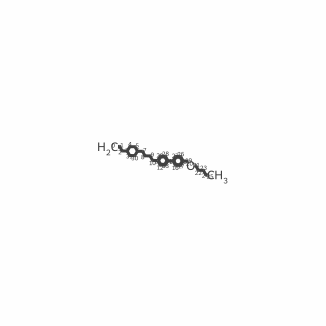 C=CCC1CCC(CCCCc2ccc(-c3ccc(COCCCCC)cc3)cc2)CC1